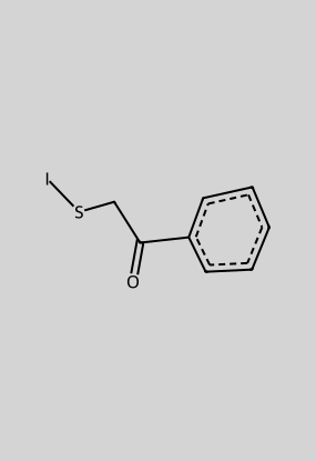 O=C(CSI)c1ccccc1